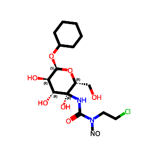 O=NN(CCCl)C(=O)N[C@@]1(O)[C@H](O)[C@@H](O)[C@@H](OC2CCCCC2)O[C@@H]1CO